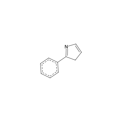 C1=CN=C(c2ccccc2)C1